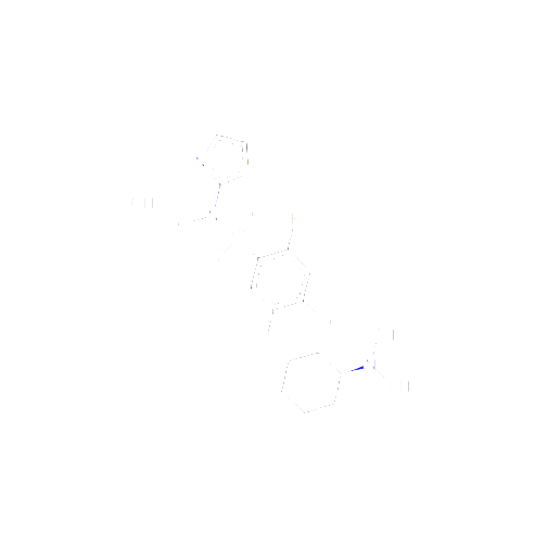 CN(C)[C@H]1CCCC[C@@H]1Oc1cc(F)c(S(=O)(=O)N(OC=O)c2nccs2)cc1C(F)(F)F